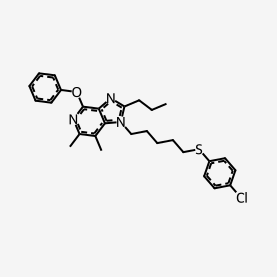 CCCc1nc2c(Oc3ccccc3)nc(C)c(C)c2n1CCCCCSc1ccc(Cl)cc1